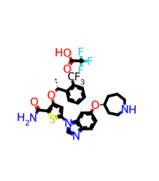 C[C@@H](Oc1cc(-n2cnc3ccc(O[C@@H]4CCCNCC4)cc32)sc1C(N)=O)c1ccccc1C(F)(F)F.O=C(O)C(F)(F)F